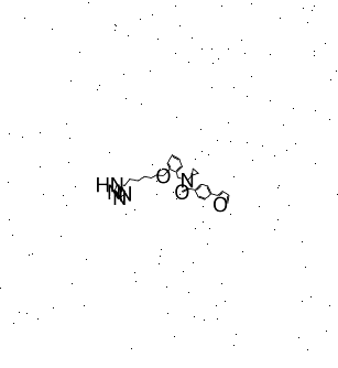 O=C(c1ccc(-c2ccco2)cc1)N(Cc1ccccc1OCCCCCc1nnn[nH]1)C1CC1